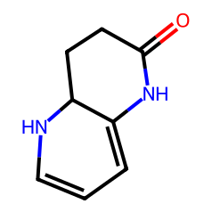 O=C1CCC2NC=CC=C2N1